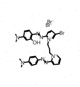 CN(C)c1ccc(/N=N/c2cccc[n+]2CCC[n+]2cc(Br)ccc2/N=N/c2ccc(N(C)C)cc2O)cc1.[Br-].[Br-]